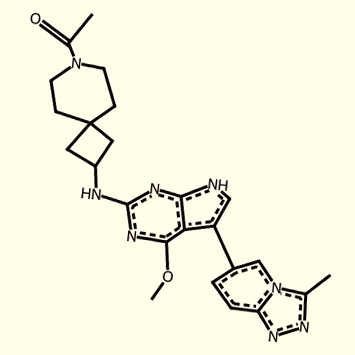 COc1nc(NC2CC3(CCN(C(C)=O)CC3)C2)nc2[nH]cc(-c3ccc4nnc(C)n4c3)c12